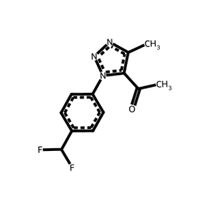 CC(=O)c1c(C)nnn1-c1ccc(C(F)F)cc1